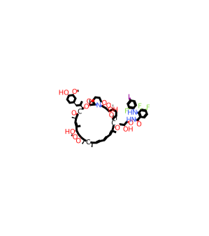 CO[C@@H]1C[C@@H](CC(C)[C@@H]2CC(=O)[C@H](C)/C=C(\C)[C@@H](O)[C@@H](OC)C(=O)[C@H](C)C[C@H](C)/C=C/C=C/C=C(/C)[C@@H](OC[C@@H](O)CONC(=O)c3ccc(F)c(F)c3Nc3ccc(I)cc3F)C[C@@H]3CC[C@@H](C)[C@@](O)(O3)C(=O)C(=O)N3CCCC[C@H]3C(=O)O2)CC[C@H]1O